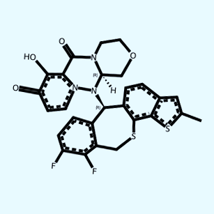 Cc1cc2ccc3c(c2s1)SCc1c(ccc(F)c1F)[C@H]3N1[C@@H]2COCCN2C(=O)c2c(O)c(=O)ccn21